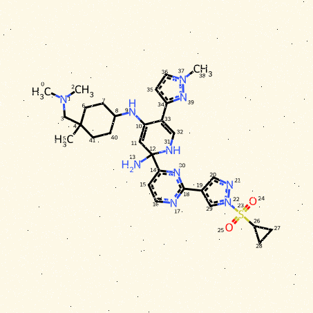 CN(C)CC1(C)CCC(NC2=CC(N)(c3ccnc(-c4cnn(S(=O)(=O)C5CC5)c4)n3)NC=C2c2ccn(C)n2)CC1